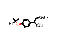 CCC(C)(C)Oc1ccc(C(CSC)C(C)(C)C)cc1